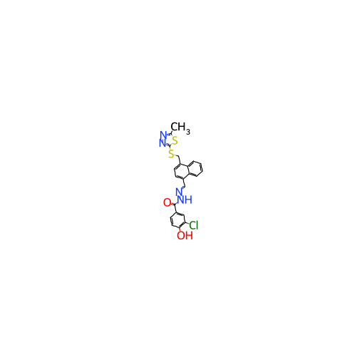 Cc1nnc(SCc2ccc(/C=N/NC(=O)c3ccc(O)c(Cl)c3)c3ccccc23)s1